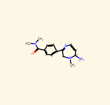 CN(C)C(=O)c1ccc(C2=NC=CC(N)N(C)C2)cc1